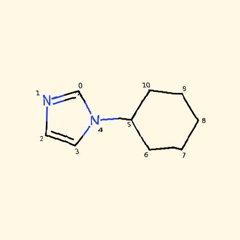 [c]1nccn1C1CCCCC1